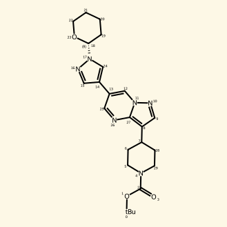 CC(C)(C)OC(=O)N1CCC(c2cnn3cc(-c4cnn([C@H]5CCCCO5)c4)cnc23)CC1